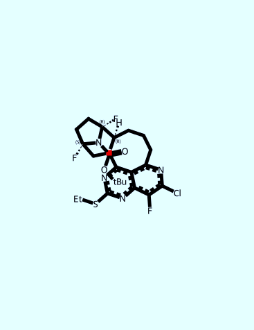 CCSc1nc2c3c(nc(Cl)c(F)c3n1)CCC[C@H]1N2C[C@@]2(F)CC[C@]1(F)N2C(=O)OC(C)(C)C